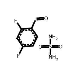 NS(N)(=O)=O.O=Ic1ccc(F)cc1F